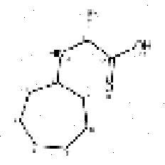 C[C@@H](NC1CCCCCC1)C(=O)O